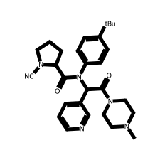 CN1CCN(C(=O)C(c2cccnc2)N(C(=O)C2CCCN2C#N)c2ccc(C(C)(C)C)cc2)CC1